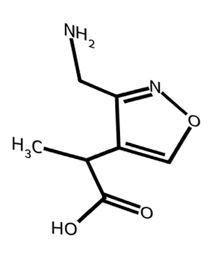 CC(C(=O)O)c1conc1CN